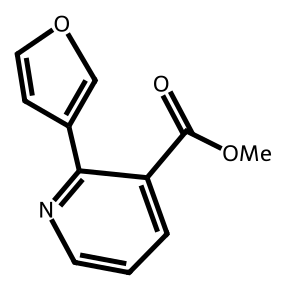 COC(=O)c1cccnc1-c1ccoc1